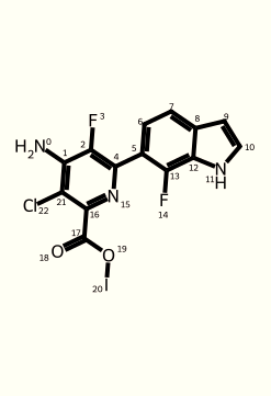 Nc1c(F)c(-c2ccc3cc[nH]c3c2F)nc(C(=O)OI)c1Cl